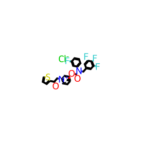 O=C(C[N+]12CCC(CC1)C(OC(=O)N(Cc1cc(F)c(F)c(F)c1)c1cccc(F)c1)C2)c1cccs1.[Cl-]